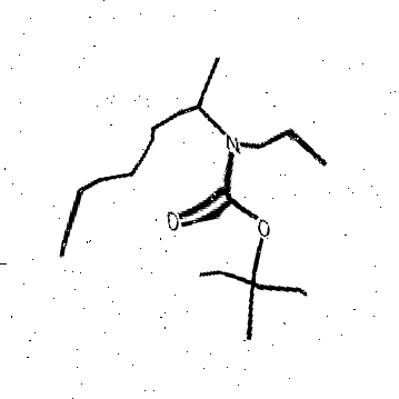 CCCCC(C)N(CC)C(=O)OC(C)(C)C